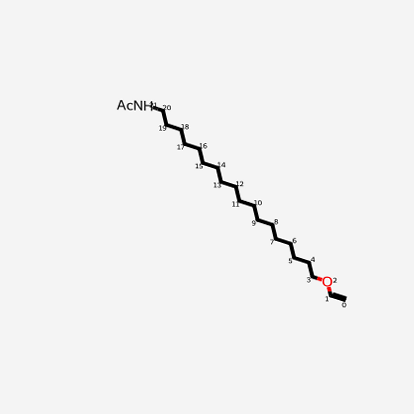 C=COCCCCCCCCCCCCCCCCCCNC(C)=O